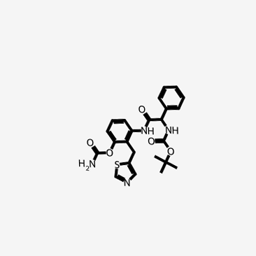 CC(C)(C)OC(=O)NC(C(=O)Nc1cccc(OC(N)=O)c1Cc1cncs1)c1ccccc1